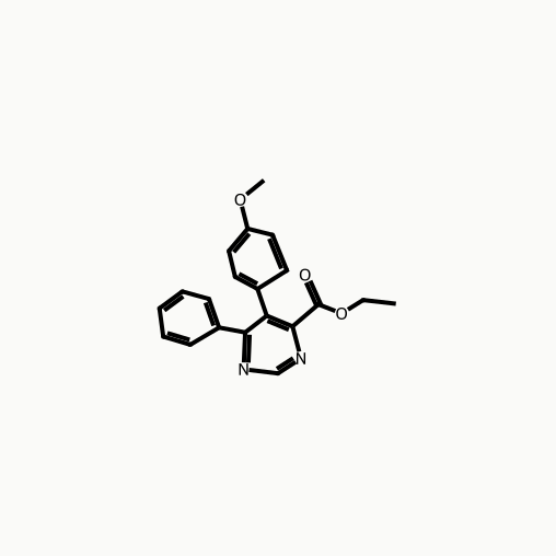 CCOC(=O)c1ncnc(-c2ccccc2)c1-c1ccc(OC)cc1